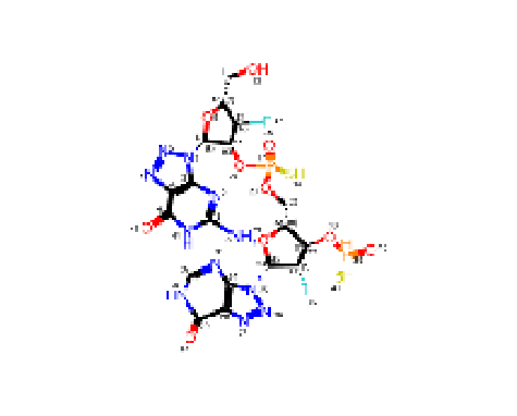 Nc1nc2c(nnn2[C@@H]2O[C@H](CO)[C@@H](F)[C@H]2OP(=O)(S)OC[C@H]2O[C@@H](n3nnc4c(=O)[nH]cnc43)[C@@H](F)[C@@H]2O[PH](=O)S)c(=O)[nH]1